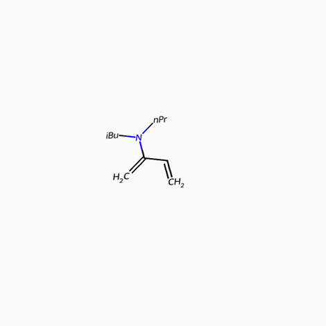 C=CC(=C)N(CCC)C(C)CC